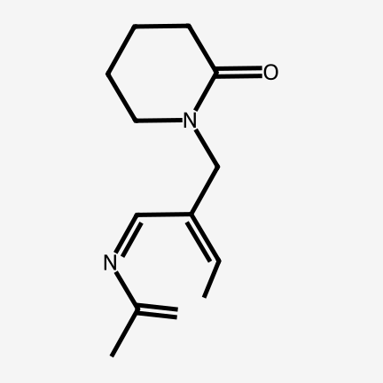 C=C(C)/N=C\C(=C/C)CN1CCCCC1=O